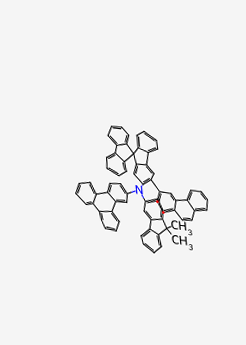 CC1(C)c2ccccc2-c2cc(N(c3ccc4c5ccccc5c5ccccc5c4c3)c3cc4c(cc3-c3ccc5ccc6ccccc6c5c3)-c3ccccc3C43c4ccccc4-c4ccccc43)ccc21